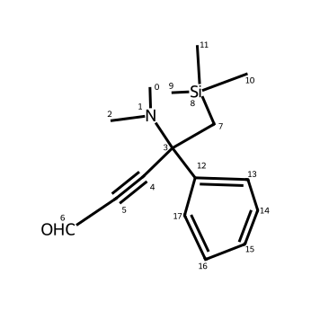 CN(C)C(C#CC=O)(C[Si](C)(C)C)c1ccccc1